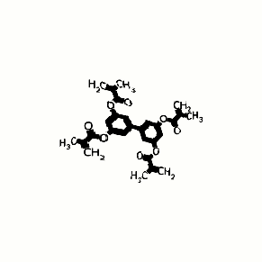 C=C(C)C(=O)OC1=CC(OC(=O)C(=C)C)CC(c2cc(OC(=O)C(=C)C)cc(OC(=O)C(=C)C)c2)=C1